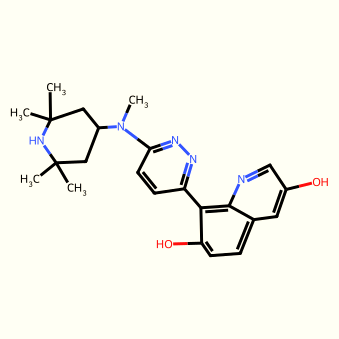 CN(c1ccc(-c2c(O)ccc3cc(O)cnc23)nn1)C1CC(C)(C)NC(C)(C)C1